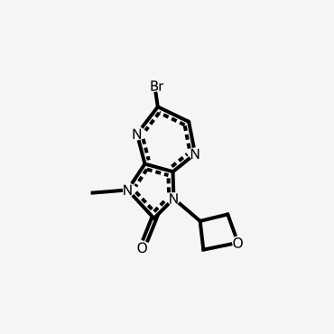 Cn1c(=O)n(C2COC2)c2ncc(Br)nc21